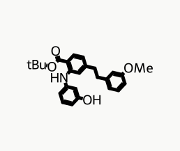 COc1cccc(CCc2ccc(C(=O)OC(C)(C)C)c(Nc3cccc(O)c3)c2)c1